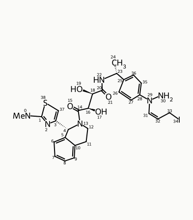 CNc1nc([C@H]2c3ccccc3CCN2C(=O)[C@H](O)[C@@H](O)C(=O)N[C@H](C)c2ccc(N(N)/C=C\CI)cc2)cs1